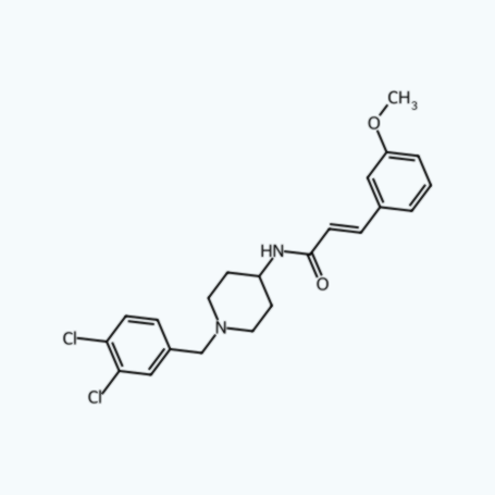 COc1cccc(C=CC(=O)NC2CCN(Cc3ccc(Cl)c(Cl)c3)CC2)c1